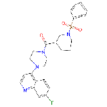 O=C(C1CCCN(S(=O)(=O)c2ccccc2)C1)N1CCN(c2ccnc3cc(F)ccc23)CC1